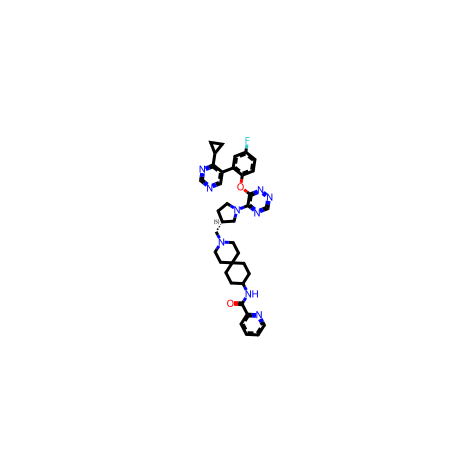 O=C(NC1CCC2(CC1)CCN(C[C@@H]1CCN(c3ncnnc3Oc3ccc(F)cc3-c3cncnc3C3CC3)C1)CC2)c1ccccn1